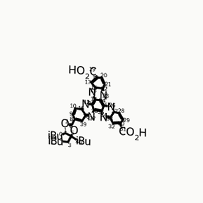 CCC(C)CC(CC(C)CC)(OC(=O)c1ccc2nc3c4nc5cc(C(=O)O)ccc5nc4c4nc5ccc(C(=O)O)cc5nc4c3nc2c1)C(C)CC